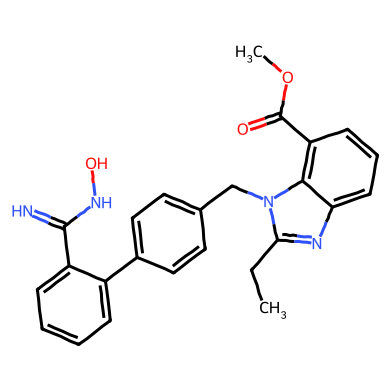 CCc1nc2cccc(C(=O)OC)c2n1Cc1ccc(-c2ccccc2C(=N)NO)cc1